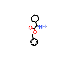 [NH]C(C(=O)OCc1ccccc1)C1CCCCC1